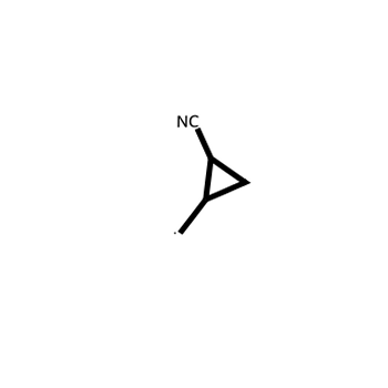 [CH2]C1CC1C#N